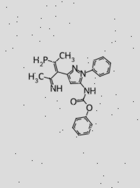 CC(=N)/C(=C(/C)P)c1cc(NC(=O)Oc2ccccc2)n(-c2ccccc2)n1